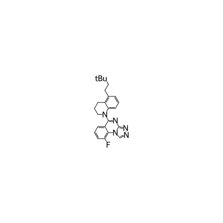 CC(C)(C)CCc1cccc2c1CCCN2c1nc2nncn2c2c(F)cccc12